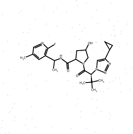 Cc1cnc(F)c(C(C)NC(=O)C2CC(O)CN2C(=O)[C@@H](n2cc(C3CC3)nn2)C(C)(C)C)c1